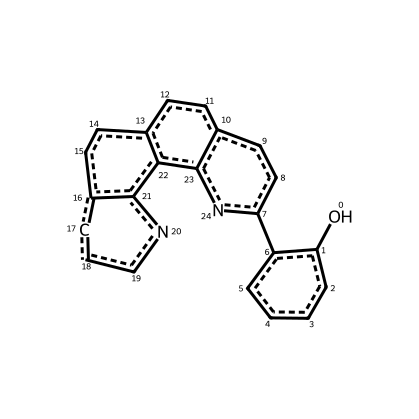 Oc1ccccc1-c1ccc2ccc3ccc4cccnc4c3c2n1